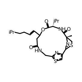 CC(C)CC/C=C/C1CC(=O)NCc2nc(cs2)C2=N[C@@](C)(CS2)C(=O)N[C@@H](C(C)C)C(=O)O1